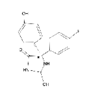 O=C1NC(O)N[C@]1(c1ccc(O)cc1)c1ccc(F)cc1